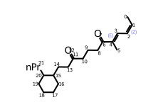 C/C=C\C=C(/C)C(=O)CCCC(=O)CCC1CCCCC1CCC